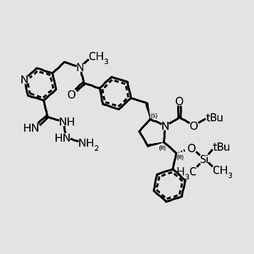 CN(Cc1cncc(C(=N)NNN)c1)C(=O)c1ccc(C[C@@H]2CC[C@H]([C@H](O[Si](C)(C)C(C)(C)C)c3ccccc3)N2C(=O)OC(C)(C)C)cc1